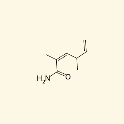 C=CC(C)C=C(C)C(N)=O